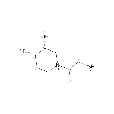 CC(CS)N1CC[C@H](F)[C@H](O)C1